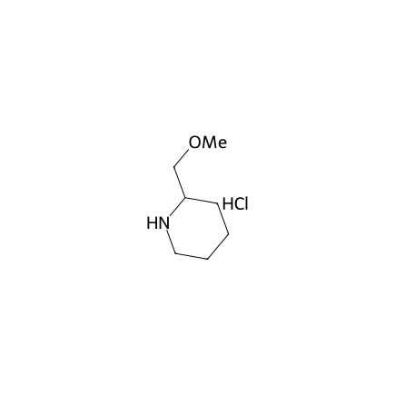 COCC1CCCCN1.Cl